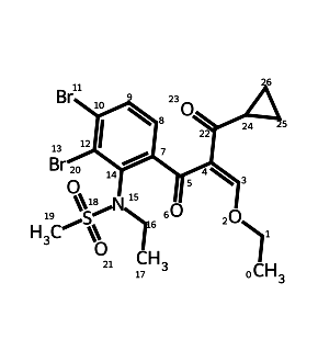 CCO/C=C(\C(=O)c1ccc(Br)c(Br)c1N(CC)S(C)(=O)=O)C(=O)C1CC1